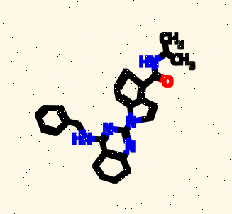 CC(C)NC(=O)c1cccc2c1ccn2-c1nc2c(c(NCc3ccccc3)n1)CCCC2